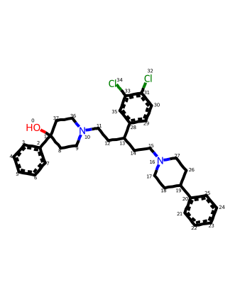 OC1(c2ccccc2)CCN(CCC(CCN2CCC(c3ccccc3)CC2)c2ccc(Cl)c(Cl)c2)CC1